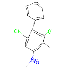 CNc1cc(Cl)c(-c2ccccc2)c(Cl)c1C